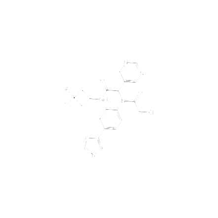 O=C(NC1CC(F)(F)C1)C(c1cncnc1)N(C(=O)CCl)c1ccc(-c2cnco2)cc1